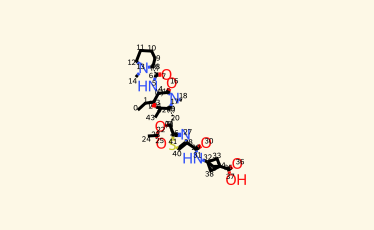 CC[C@H](C)[C@H](NC(=O)[C@H]1CCCCN1C)C(=O)N(C)[C@H](C[C@@H](OC(C)=O)c1nc(C(=O)NC23CC(C(=O)O)(C2)C3)cs1)C(C)C